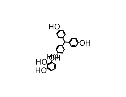 Oc1ccc(C(c2ccc(O)cc2)c2ccc(O)cc2)cc1.Oc1cccc(O)c1O